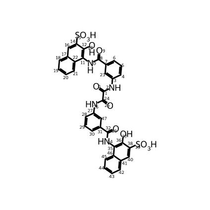 O=C(Nc1cccc(C(=O)Nc2c(O)c(S(=O)(=O)O)cc3ccccc23)c1)C(=O)Nc1cccc(C(=O)Nc2c(O)c(S(=O)(=O)O)cc3ccccc23)c1